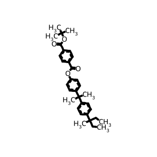 CCC(C)(CC)c1ccc(C(C)(C)c2ccc(OC(=O)c3ccc(C(=O)OC(C)(C)C)cc3)cc2)cc1